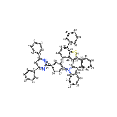 c1ccc(-c2cc(-c3ccccc3)nc(-c3ccc(-n4c5ccccc5c5c6ccccc6c6sc7c(-c8ccccc8)cccc7c6c54)cc3)n2)cc1